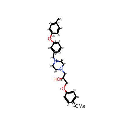 COc1ccc(OCC(O)CN2CCN(Cc3cccc(Oc4ccc(C)cc4)c3)CC2)cc1